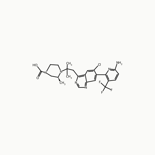 C[C@H]1CN(C(=O)O)CCN1C(C)(C)Cc1ncnc2cc(-c3nc(N)ccc3C(F)(F)F)c(Cl)cc12